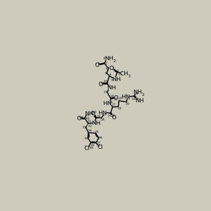 CC(=O)NC(CCC(N)=O)C(=O)NCC(=O)NC(CCCNC(=N)N)C(=O)NCC(=O)N[C@@H](Cc1ccc(Cl)c(Cl)c1)C(N)=O